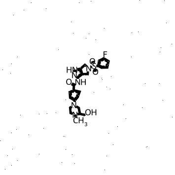 CN1CCN(c2ccc(C(=O)Nc3n[nH]c4c3CN(S(=O)(=O)c3cccc(F)c3)C4)cc2)CC1CO